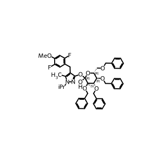 COc1cc(F)c(Cc2c(O[C@]3(O)O[C@H](COCc4ccccc4)[C@@H](OCc4ccccc4)[C@H](OCc4ccccc4)[C@H]3OCc3ccccc3)nn(C(C)C)c2C)cc1F